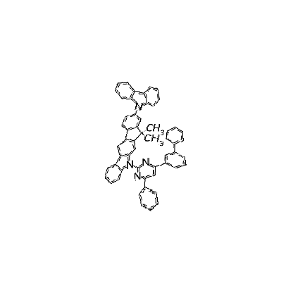 CC1(C)c2cc(-n3c4ccccc4c4ccccc43)ccc2-c2cc3c4ccccc4n(-c4nc(-c5ccccc5)cc(-c5cccc(-c6ccccc6)c5)n4)c3cc21